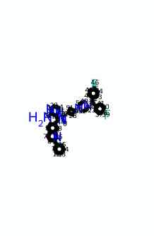 CN1C(c2ccc3ccc(-c4ccccc4)nc3c2)=C2C(N)=NC=CN2C1[C@H]1C[C@@H](N2CCN(C(c3ccc(F)cc3)c3ccc(F)cc3)CC2)C1